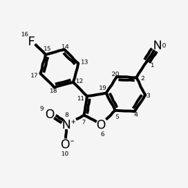 N#Cc1ccc2oc([N+](=O)[O-])c(-c3ccc(F)cc3)c2c1